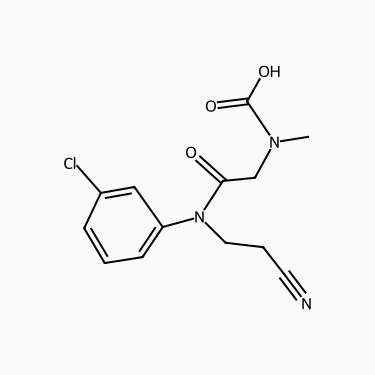 CN(CC(=O)N(CCC#N)c1cccc(Cl)c1)C(=O)O